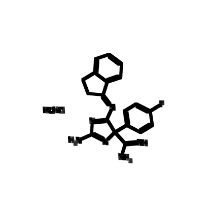 Cl.Cl.N=C(N)C1(c2ccc(F)cc2)N=C(N)N=C1N=C1CCc2ccccc21